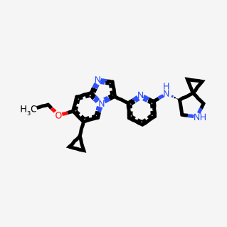 CCOc1cc2ncc(-c3cccc(N[C@H]4CNCC45CC5)n3)n2cc1C1CC1